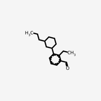 CCCC1CCCC(c2cccc(C=O)c2CC)C1